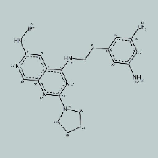 CC(C)Nc1cc2c(NCCc3cc(N)cc(C(F)(F)F)c3)nc(N3CCCC3)nc2cn1